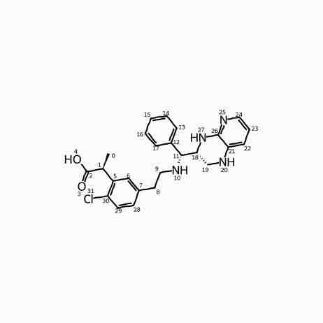 C[C@H](C(=O)O)c1cc(CCN[C@H](c2ccccc2)[C@H]2CNc3cccnc3N2)ccc1Cl